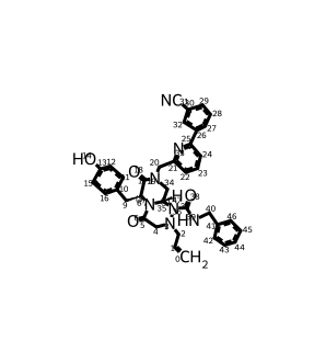 C=CCN1CC(=O)N2[C@@H](Cc3ccc(O)cc3)C(=O)N(Cc3cccc(-c4cccc(C#N)c4)n3)C[C@@H]2N1C(=O)NCc1ccccc1